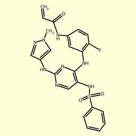 C=CC(=O)Nc1ccc(F)c(Nc2nc(Nc3cnn(C)c3)ncc2NS(=O)(=O)c2ccccc2)c1